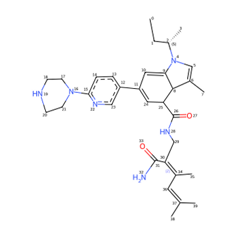 CC[C@H](C)N1C=C(C)C2C1=CC(c1ccc(N3CCNCC3)nc1)=CC2C(=O)NC/C(C(N)=O)=C(\C)C=C(C)C